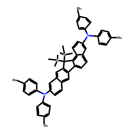 CC(C)(C)c1ccc(N(c2ccc(C(C)(C)C)cc2)c2ccc3cc4c(cc3c2)C([Si](C)(C)C)([Si](C)(C)C)c2c-4ccc3cc(N(c4ccc(C(C)(C)C)cc4)c4ccc(C(C)(C)C)cc4)ccc23)cc1